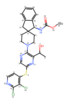 CC(O)c1nc(Sc2ccnc(Cl)c2Cl)cnc1N1CCC2(CC1)Cc1ccccc1[C@H]2NC(=O)OC(C)(C)C